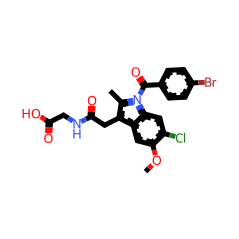 COc1cc2c(CC(=O)NCC(=O)O)c(C)n(C(=O)c3ccc(Br)cc3)c2cc1Cl